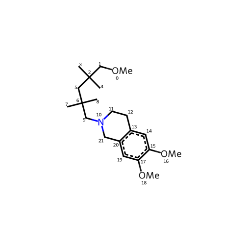 COCC(C)(C)CC(C)(C)CN1CCc2cc(OC)c(OC)cc2C1